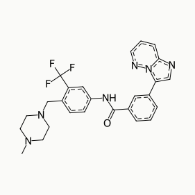 CN1CCN(Cc2ccc(NC(=O)c3cccc(-c4cnc5cccnn45)c3)cc2C(F)(F)F)CC1